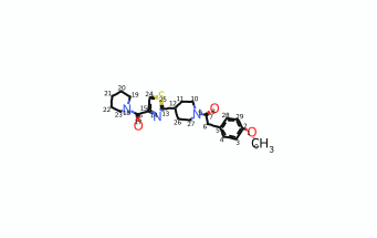 COc1ccc(CC(=O)N2CCC(c3nc(C(=O)N4CCCCC4)cs3)CC2)cc1